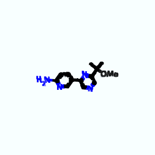 COC(C)(C)c1cncc(-c2ccc(N)nc2)n1